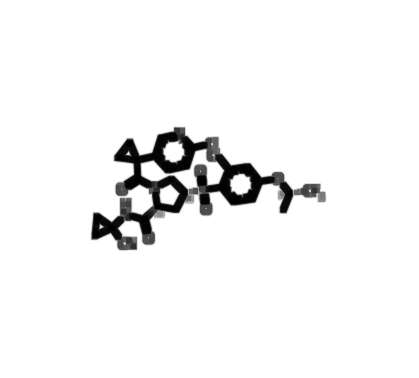 C[C@H](Oc1ccc(S(=O)(=O)[C@@H]2C[C@@H](C(=O)NC3(C#N)CC3)N(C(=O)C3(c4ccc(Cl)nc4)CC3)C2)c(Cl)c1)C(F)(F)F